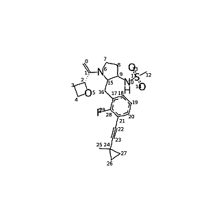 C=C([C@H]1CCO1)N1CCC(NS(C)(=O)=O)C1Cc1cccc(C#CC2(C)CC2)c1F